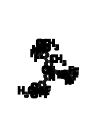 Cc1cc2c(cc1-c1ccc(NS(C)(=O)=O)c(C(F)(F)F)c1)Oc1cc(-c3ccc(NS(C)(=O)=O)c(C(F)(F)F)c3)cnc1N2CCN1CCn2c(nnc2C(F)(F)F)C1